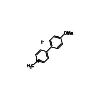 COc1ccc(-c2cc[n+](C)cc2)cc1.[I-]